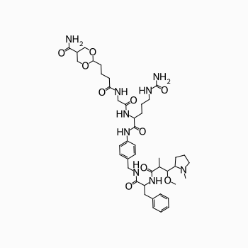 COC(C(C)C(=O)NC(Cc1ccccc1)C(=O)NCc1ccc(NC(=O)C(CCCNC(N)=O)NC(=O)CNC(=O)CCCC2OCC(C(N)=O)CO2)cc1)C1CCCN1C